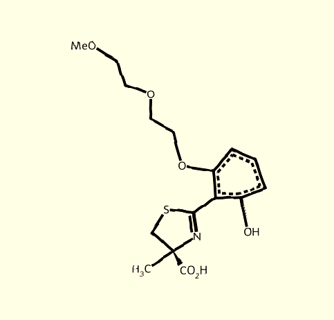 COCCOCCOc1cccc(O)c1C1=N[C@@](C)(C(=O)O)CS1